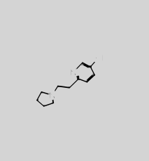 Cc1ccc(CCN2CCCC2)nc1